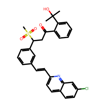 CC(C)(O)c1ccccc1C(=O)CC(c1cccc(/C=C/c2ccc3ccc(Cl)cc3n2)c1)S(C)(=O)=O